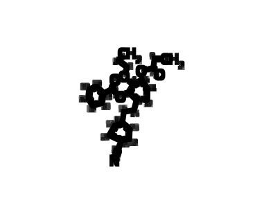 C=CCOc1c(OC(=O)C=C)ccc(CCc2ccc(C#N)cc2)c1OC(=O)c1ccccc1